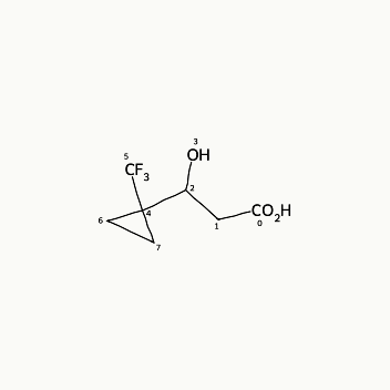 O=C(O)CC(O)C1(C(F)(F)F)CC1